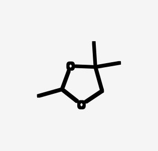 CC1OCC(C)(C)O1